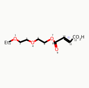 CCOCCOCCOC(=O)/C=C/C(=O)O